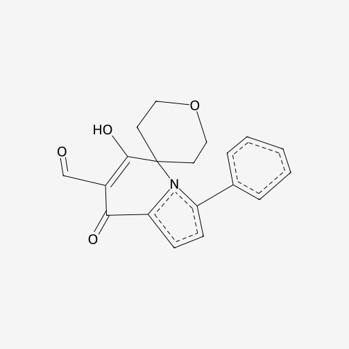 O=CC1=C(O)C2(CCOCC2)n2c(ccc2-c2ccccc2)C1=O